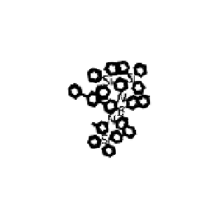 Cc1cc(N2c3cc4ccccc4cc3B3c4cc5ccccc5cc4N(c4cc([Si](c5ccccc5)(c5ccccc5)c5ccccc5)cc([Si](c5ccccc5)(c5ccccc5)c5ccccc5)c4)c4cc(-c5ccc(-c6ccccc6)cc5)cc2c43)cc([Si](c2ccccc2)(c2ccccc2)c2ccccc2)c1